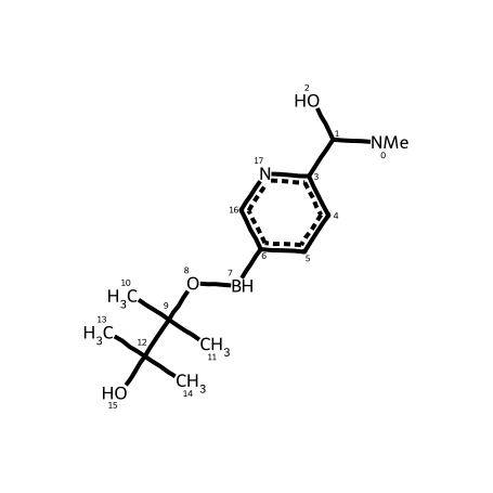 CNC(O)c1ccc(BOC(C)(C)C(C)(C)O)cn1